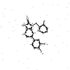 Cc1cccnc1Cn1c(=O)[nH]c2ncc(-c3ccc(F)c(F)c3)cc21